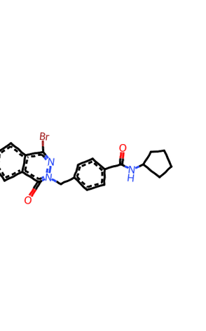 O=C(NC1CCCC1)c1ccc(Cn2nc(Br)c3ccccc3c2=O)cc1